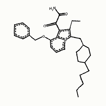 CCCCCC1CCC(Cc2c(CC)c(C(=O)C(N)=O)c3c(OCc4ccccc4)cccn23)CC1